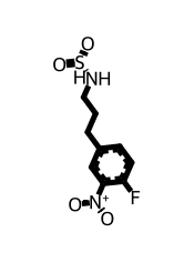 O=[N+]([O-])c1cc(CCCN[SH](=O)=O)ccc1F